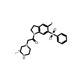 C[C@@H]1CN(CC(=O)N2CCc3cc(F)c(S(=O)(=O)c4ccccc4)cc32)CCN1